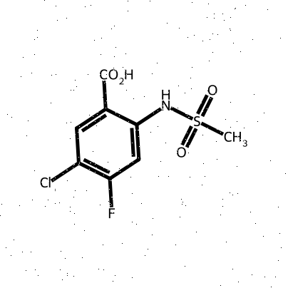 CS(=O)(=O)Nc1cc(F)c(Cl)cc1C(=O)O